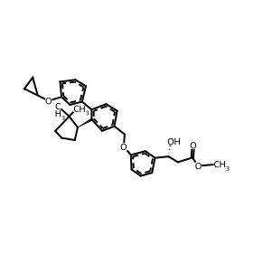 COC(=O)C[C@@H](O)c1cccc(OCc2ccc(-c3cccc(OC4CC4)c3)c([C@H]3CCCC3(C)C)c2)c1